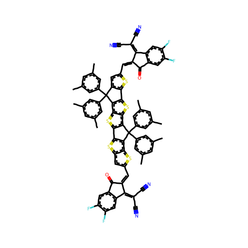 Cc1cc(C)cc(C2(c3cc(C)cc(C)c3)c3cc(/C=C4\C(=O)c5cc(F)c(F)cc5C4=C(C#N)C#N)sc3-c3sc4c5c(sc4c32)-c2sc3cc(/C=C4\C(=O)c6cc(F)c(F)cc6C4=C(C#N)C#N)sc3c2C5(c2cc(C)cc(C)c2)c2cc(C)cc(C)c2)c1